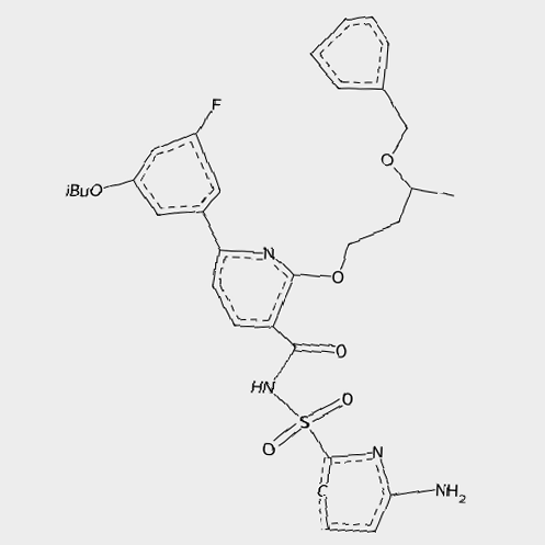 CC(C)COc1cc(F)cc(-c2ccc(C(=O)NS(=O)(=O)c3cccc(N)n3)c(OCCC(C)OCc3ccccc3)n2)c1